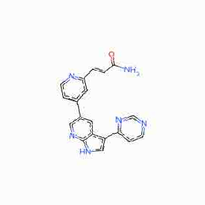 NC(=O)C=Cc1cc(-c2cnc3[nH]cc(-c4ccncn4)c3c2)ccn1